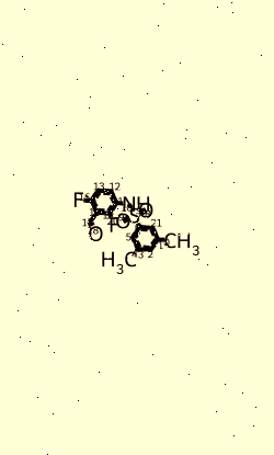 Cc1cc(C)cc(S(=O)(=O)Nc2ccc(F)c(C=O)c2F)c1